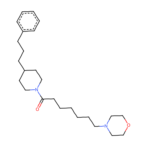 O=C(CCCCCCN1CCOCC1)N1CCC(CCCc2ccccc2)CC1